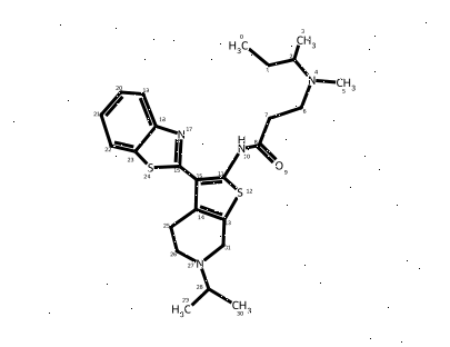 CCC(C)N(C)CCC(=O)Nc1sc2c(c1-c1nc3ccccc3s1)CCN(C(C)C)C2